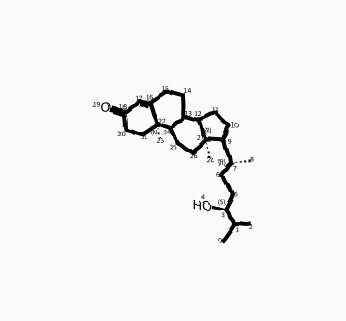 CC(C)[C@@H](O)CC[C@@H](C)C1CCC2C3CCC4=CC(=O)CC[C@]4(C)C3CC[C@@]21C